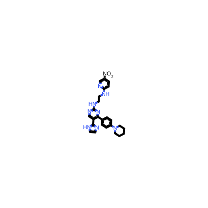 O=[N+]([O-])c1ccc(NCCNc2ncc(-c3ncc[nH]3)c(-c3ccc(N4CCCCC4)cc3)n2)nc1